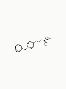 O=C(O)CCCc1ccc(Cc2cccnc2)cc1